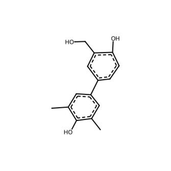 Cc1cc(-c2ccc(O)c(CO)c2)cc(C)c1O